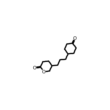 O=C1CCC(CCCC2CCC(=O)OC2)CC1